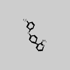 Nc1ncccc1-c1ccc(Oc2cccc(C(F)(F)F)c2)cc1